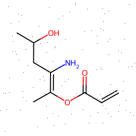 C=CC(=O)OC(C)=C(N)CC(C)O